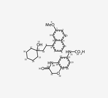 COc1cnc2cccc(CCC3(O)CCCCC3)c2c1.O=C(O)Nc1ccc2c(c1)NC(=O)CO2